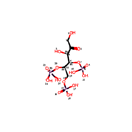 O=C(CO)[C@H](O)[C@@H](OP(=O)(O)O)[C@@H](COP(=O)(O)O)OP(=O)(O)O